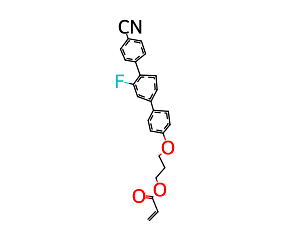 C=CC(=O)OCCCOc1ccc(-c2ccc(-c3ccc(C#N)cc3)c(F)c2)cc1